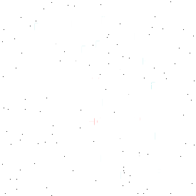 OC(F)(OC(F)(F)C(F)(OC(F)(F)C(F)(F)F)C(F)(F)F)C(F)(F)F